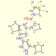 O=C([C@@H]1CCCN1c1nc2c(c(Nc3cc(C4CCCC4)[nH]n3)n1)CCC2)N1CC(F)(F)C(F)(F)C1